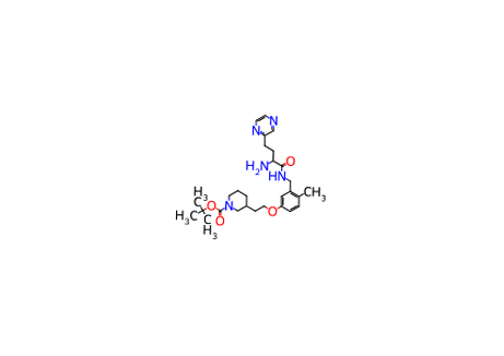 Cc1ccc(OCCC2CCCN(C(=O)OC(C)(C)C)C2)cc1CNC(=O)C(N)CCc1cnccn1